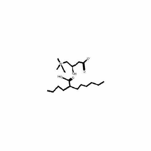 CCCCCCC(CCCC)C(=O)O.C[N+](C)(C)C[C@H](O)CC(=O)[O-]